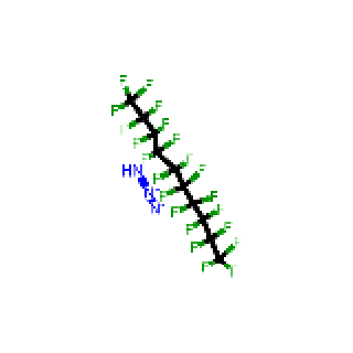 FC(F)(F)C(F)(F)C(F)(F)C(F)(F)C(F)(F)C(F)(F)C(F)(F)C(F)(F)C(F)(F)C(F)(F)F.[N-]=[N+]=N